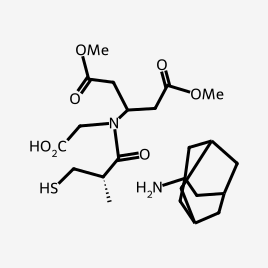 COC(=O)CC(CC(=O)OC)N(CC(=O)O)C(=O)[C@H](C)CS.NC12CC3CC(CC(C3)C1)C2